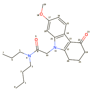 CCCCN(CCC)C(=O)Cn1c2c(c3ccc(OC)cc31)C(=O)CCC2